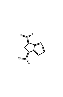 O=S(=O)=C1CC(=S(=O)=O)c2ccccc21